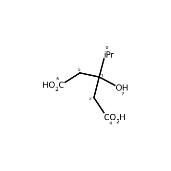 CC(C)C(O)(CC(=O)O)CC(=O)O